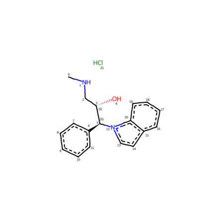 CNC[C@H](O)[C@H](c1ccccc1)n1ccc2ccccc21.Cl